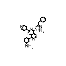 Nc1cccc(-c2nccc3c(NC[C@@H](N)Cc4ccccc4)nc(-c4ccncc4)nc23)c1